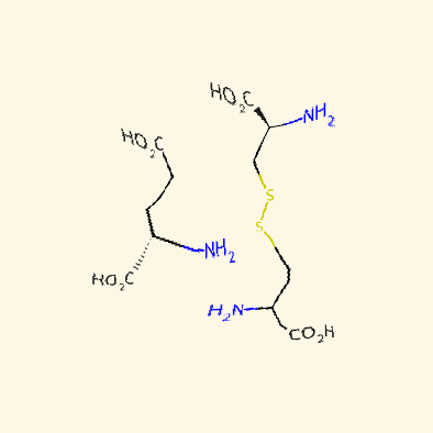 NC(CSSC[C@H](N)C(=O)O)C(=O)O.N[C@@H](CCC(=O)O)C(=O)O